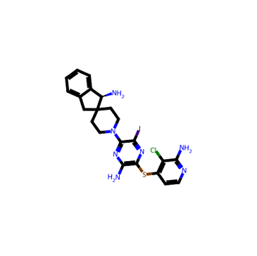 Nc1nc(N2CCC3(CC2)Cc2ccccc2[C@H]3N)c(I)nc1Sc1ccnc(N)c1Cl